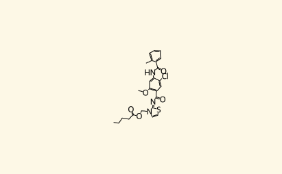 CCCCC(=O)OCn1ccsc1=NC(=O)c1cc(Cl)c(NC(=O)c2ccccc2C)cc1OC